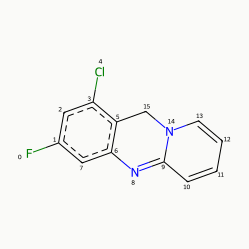 Fc1cc(Cl)c2c(c1)N=C1C=CC=CN1C2